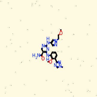 COCCn1cc(Nc2ncc(C(N)=O)c(Nc3cccc(-c4ncn(C)n4)c3OC)n2)cn1